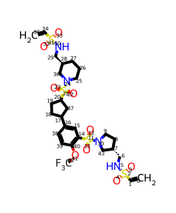 C=CS(=O)(=O)NC[C@H]1CCN(S(=O)(=O)c2cc(C3CCC(S(=O)(=O)N4CCC[C@H](CNS(=O)(=O)C=C)C4)C3)ccc2OC(F)(F)F)C1